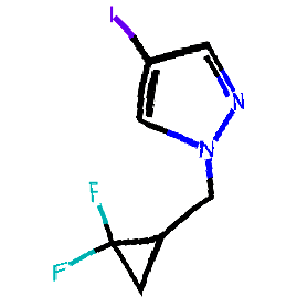 FC1(F)CC1Cn1cc(I)cn1